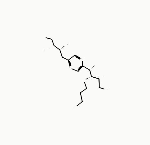 OCCCO[C@H]([C@H](O)CO)[C@H](O)c1cnc(C[C@H](O)[C@H](O)CO)cn1